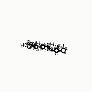 C/C(=N\OCc1ccc(C2CCCCC2)c(C)c1)c1ccc([C@@H]2CC[C@](N)(COP(=O)(O)O)C2)cc1